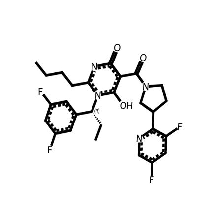 CCCCc1nc(=O)c(C(=O)N2CCC(c3ncc(F)cc3F)C2)c(O)n1[C@H](CC)c1cc(F)cc(F)c1